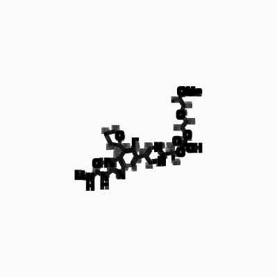 CCNC(=O)Nc1nc2cc(-c3cnc(C(C)(C)OP(=O)(O)OCCOCCOC)nc3)c(F)c(C3CCCO3)c2[nH]1